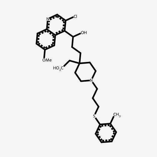 COc1ccc2ncc(Cl)c(C(O)CCC3(CC(=O)O)CCN(CCCSc4ccccc4C)CC3)c2c1